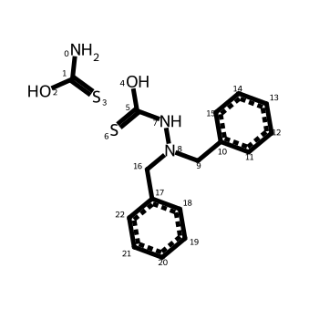 NC(O)=S.OC(=S)NN(Cc1ccccc1)Cc1ccccc1